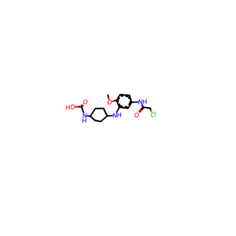 COc1ccc(NC(=O)CCl)cc1NC1CCC(NC(=O)O)CC1